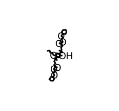 CCCCOc1cc(C(C)(C)CCCC(=O)OCCOC2CCCCC2)c(O)cc1C(C)(C)CCCC(=O)OCCOC1CCCCC1